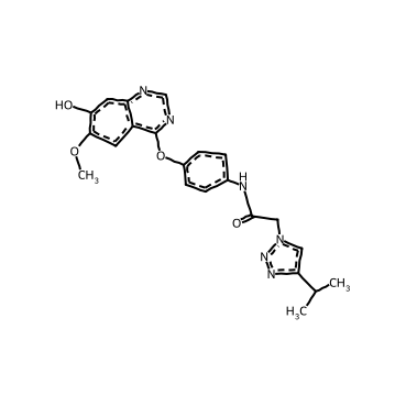 COc1cc2c(Oc3ccc(NC(=O)Cn4cc(C(C)C)nn4)cc3)ncnc2cc1O